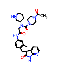 CC(=O)N1CCN(C(=O)N(CC(=O)Nc2ccc3c(c2)C[C@@]2(C3)C(=O)Nc3ncccc32)[C@H]2CCCNC2)CC1